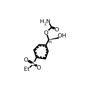 CCS(=O)(=O)c1ccc([C@H](CO)OC(N)=O)cc1